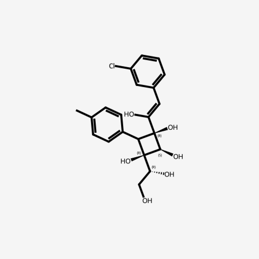 Cc1ccc(C2[C@@](O)([C@H](O)CO)[C@H](O)[C@@]2(O)C(O)=Cc2cccc(Cl)c2)cc1